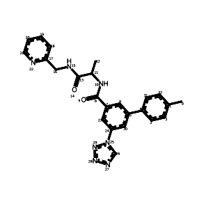 Cc1ccc(-c2cc(C(=O)NC(C)C(=O)NCc3ccccn3)cc(-n3cnnn3)c2)cc1